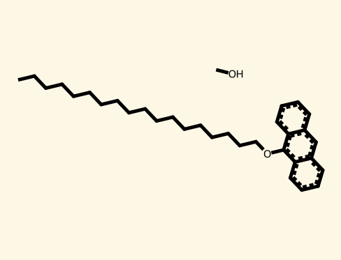 CCCCCCCCCCCCCCCCCCOc1c2ccccc2cc2ccccc12.CO